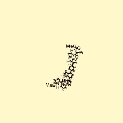 COC(=O)N[C@H](C(=O)N1CCC[C@H]1c1ncc(-c2ccc(-c3ccc(-c4cnc([C@@H]5CCCN5C(=O)[C@@H](NC(=O)OC)C(C)C)[nH]4)c4[nH]ccc34)cc2)[nH]1)C(C)C